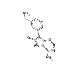 NCc1c[c]cc(-n2c(=O)[nH]c3c(N)ncnc32)c1